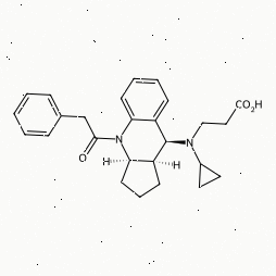 O=C(O)CCN(C1CC1)[C@@H]1c2ccccc2N(C(=O)Cc2ccccc2)[C@@H]2CCC[C@@H]21